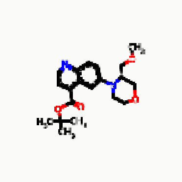 COC[C@H]1COCCN1c1ccc2nccc(C(=O)OC(C)(C)C)c2c1